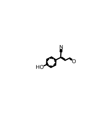 N#CC(=CC=O)c1ccc(O)cc1